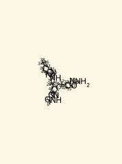 CC(=O)Nc1nc2cc(CC(C)(C)c3ccc4oc(N)nc4c3)c(C(C)(C)CNc3ncc4cc(C(C)(C)C)ccc4n3)cc2o1